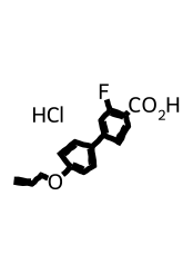 C=CCOc1ccc(-c2ccc(C(=O)O)c(F)c2)cc1.Cl